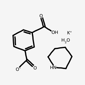 C1CCNCC1.O.O=C([O-])c1cccc(C(=O)O)c1.[K+]